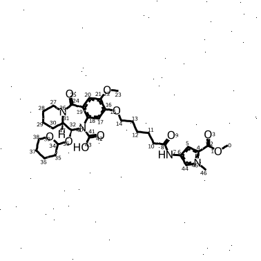 COC(=O)c1cc(NC(=O)CCCCCOc2cc3c(cc2OC)C(=O)N2CCCC[C@H]2[C@H](OC2CCCCO2)N3C(=O)O)cn1C